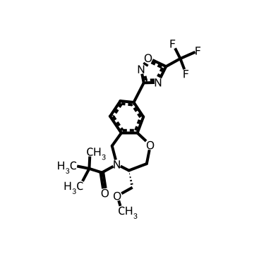 COC[C@H]1COc2cc(-c3noc(C(F)(F)F)n3)ccc2CN1C(=O)C(C)(C)C